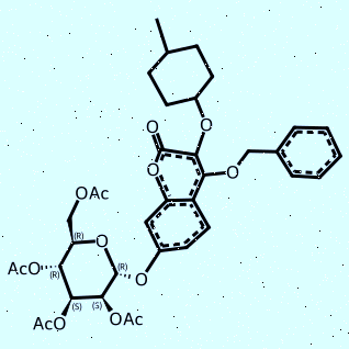 CC(=O)OC[C@H]1O[C@H](Oc2ccc3c(OCc4ccccc4)c(OC4CCC(C)CC4)c(=O)oc3c2)[C@@H](OC(C)=O)[C@@H](OC(C)=O)[C@@H]1OC(C)=O